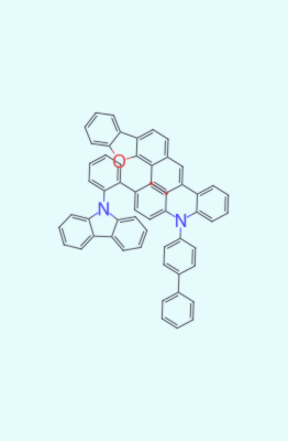 c1ccc(-c2ccc(N(c3ccc(-c4ccccc4-n4c5ccccc5c5ccccc54)cc3)c3ccccc3-c3ccc4c(ccc5c6ccccc6oc45)c3)cc2)cc1